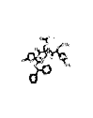 CON=C(C(=O)NC1(COC(N)=O)CON(C2(C(=O)OC(c3ccccc3)c3ccccc3)CCC(=O)O2)C1=O)c1csc(N)n1